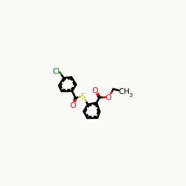 CCOC(=O)c1ccccc1SC(=O)c1ccc(Cl)cc1